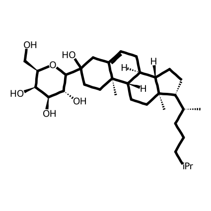 CC(C)CCC[C@@H](C)[C@H]1CC[C@H]2[C@@H]3CC=C4CC(O)(C5O[C@H](CO)[C@H](O)[C@H](O)[C@H]5O)CC[C@]4(C)[C@H]3CC[C@]12C